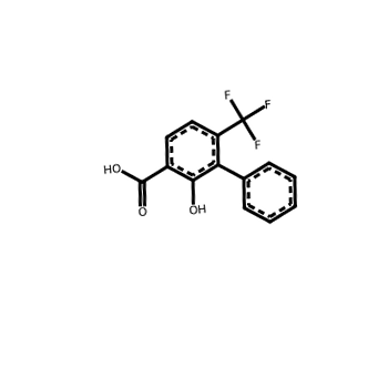 O=C(O)c1ccc(C(F)(F)F)c(-c2ccccc2)c1O